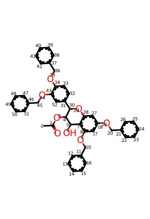 CC(=O)OC1C(O)c2c(OCc3ccccc3)cc(OCc3ccccc3)cc2OC1c1ccc(OCc2ccccc2)c(OCc2ccccc2)c1